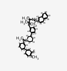 C=C(c1cccc(-c2ccc(C)c(F)c2)c1)N1CCCC(c2cccc(CC(C)(C)C(=C)NSc3ccc4ccccc4c3)c2)C1